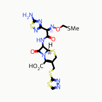 CSCO/N=C(\C(=O)NC1C(=O)N2C(C(=O)O)=C(CSc3nncs3)CS[C@H]12)c1nsc(N)n1